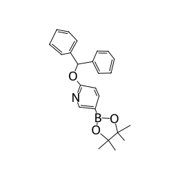 CC1(C)OB(c2ccc(OC(c3ccccc3)c3ccccc3)nc2)OC1(C)C